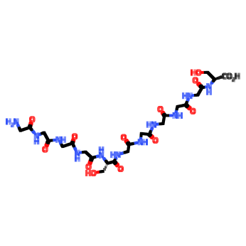 NCC(=O)NCC(=O)NCC(=O)NCC(=O)N[C@@H](CO)C(=O)NCC(=O)NCC(=O)NCC(=O)NCC(=O)NCC(=O)N[C@@H](CO)C(=O)O